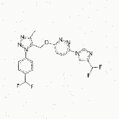 Cc1nnn(-c2ccc(C(F)F)cc2)c1COc1ccc(-n2cnc(C(F)F)c2)nn1